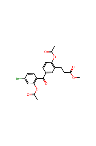 COC(=O)CCc1cc(C(=O)c2ccc(Br)cc2OC(C)=O)ccc1OC(C)=O